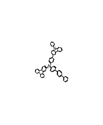 c1ccc(-c2ccc(-c3ccc(N(c4ccc(-c5ccc6c(c5)c5ccccc5n6-c5ccccc5)cc4)c4ccc5c6ccccc6c6ccccc6c5c4)cc3)cc2)cc1